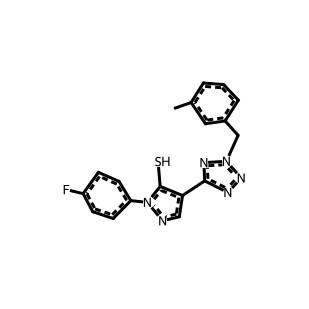 Cc1cccc(Cn2nnc(-c3cnn(-c4ccc(F)cc4)c3S)n2)c1